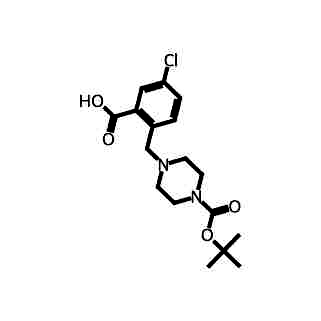 CC(C)(C)OC(=O)N1CCN(Cc2ccc(Cl)cc2C(=O)O)CC1